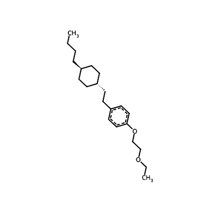 CCCC[C@H]1CC[C@H](CCc2ccc(OCCOCC)cc2)CC1